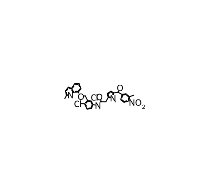 Cc1ccc2cccc(OCc3c(Cl)ccc(N(C)C(=O)Cc4ccc(C(=O)c5ccc([N+](=O)[O-])c(C)c5)n4C)c3Cl)c2n1